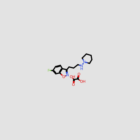 Fc1ccc2c(CCCNN3CCCCC3)noc2c1.O=C(O)C(=O)O